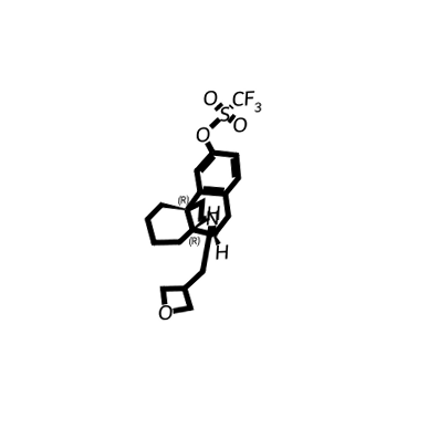 O=S(=O)(Oc1ccc2c(c1)[C@@]13CCCC[C@H]1[C@@H](C2)N(CC1COC1)CC3)C(F)(F)F